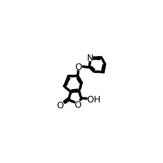 O=C1OC(O)c2cc(Oc3ccccn3)ccc21